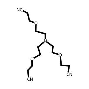 N#CCCOCCN(CCOCCC#N)CCOCCC#N